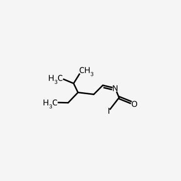 CCC(C/C=N\C(=O)I)C(C)C